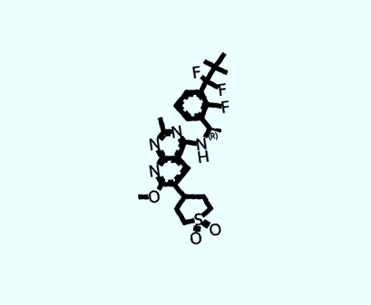 COc1nc2nc(C)nc(N[C@H](C)c3cccc(C(F)(F)C(C)(C)C)c3F)c2cc1C1CCS(=O)(=O)CC1